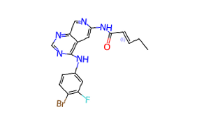 CC/C=C/C(=O)Nc1cc2c(Nc3ccc(Br)c(F)c3)ncnc2cn1